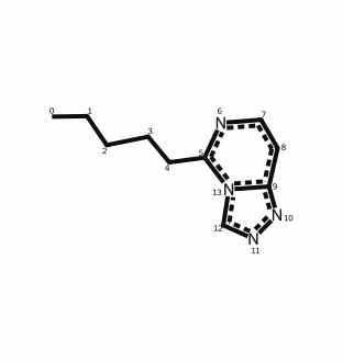 CCCCCc1nccc2nncn12